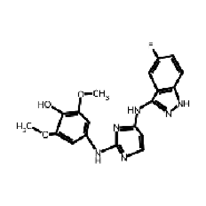 COc1cc(Nc2nccc(Nc3n[nH]c4ccc(F)cc34)n2)cc(OC)c1O